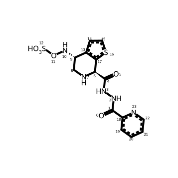 O=C(NNC(=O)[C@H]1NC[C@H](NOS(=O)(=O)O)c2ccsc21)c1ccccn1